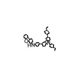 C=Cc1ccc(-n2c3ccc(C4=CCC(C=C)C=C4)cc3c3cc(-c4ccc(Nc5ccc6c(c5)oc5ccccc56)cc4)ccc32)cc1